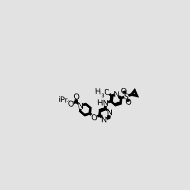 Cc1nc(S(=O)(=O)C2CC2)ccc1Nc1cc(OC2CCN(C(=O)OC(C)C)CC2)ncn1